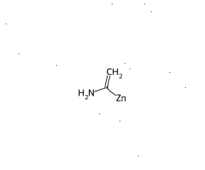 C=[C](N)[Zn]